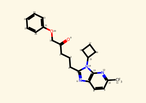 O=C(CCCc1nc2ccc(C(F)(F)F)nc2n1C1CCC1)COc1ccccc1